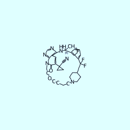 C[C@H]1Nc2ncnc3c2cc(C2(C#N)CC2)c(=O)n3CCOCCCCN2CCC(CC2)C(F)(F)c2cccc1c2F